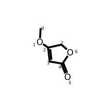 COC1=CC(=O)OC1